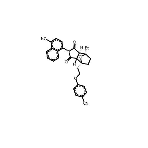 CC[C@]12CC[C@](CCOc3ccc(C#N)cc3)(O1)[C@@H]1C(=O)N(c3ccc(C#N)c4ccccc34)C(=O)[C@H]12